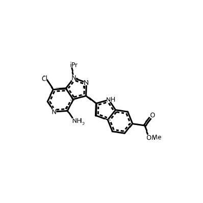 COC(=O)c1ccc2cc(-c3nn(C(C)C)c4c(Cl)cnc(N)c34)[nH]c2c1